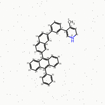 CC1=CCNC=C1c1cccc(-c2ccc3ccc(-c4c5ccccc5c(-c5ccccc5)c5ccccc45)cc3c2)c1